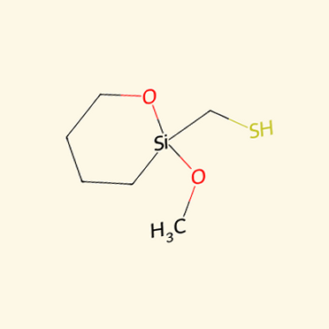 CO[Si]1(CS)CCCCO1